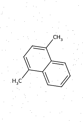 Cc1ccc(C)c2ccccc12